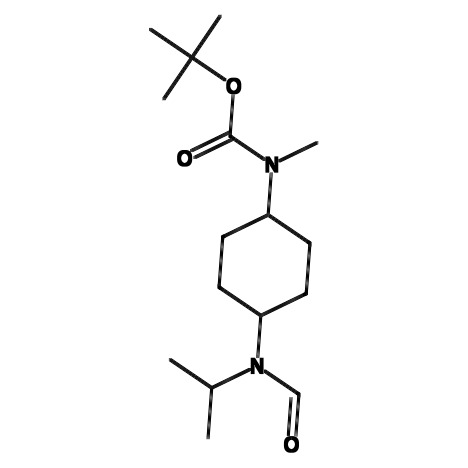 CC(C)N(C=O)C1CCC(N(C)C(=O)OC(C)(C)C)CC1